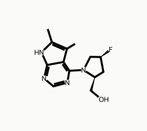 Cc1[nH]c2ncnc(N3C[C@@H](F)C[C@H]3CO)c2c1C